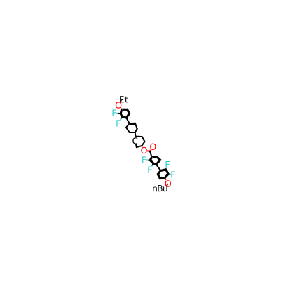 CCCCOc1ccc(-c2ccc(C(=O)OC3CCC(C4CC=C(c5ccc(OCC)c(F)c5F)CC4)CC3)c(F)c2F)c(F)c1F